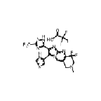 CN1Cc2cn3c(-c4cnc[nH]4)c(-c4nc(C(F)(F)F)n[nH]4)nc3nc2C(F)(F)C1.O=C(O)C(F)(F)F